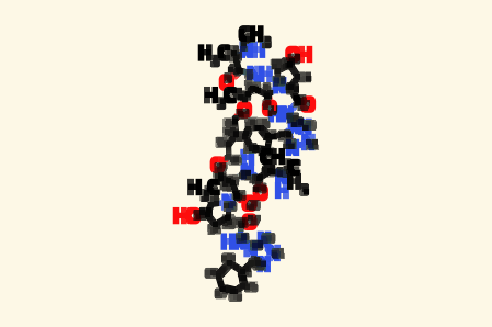 CN[C@@H](C)C(=O)N[C@H](C(=O)N1C[C@@H](O)C[C@H]1C(=O)Nn1nnnc1-c1ccccc1)C(C)OCCCCOC(C)[C@H](NC(=O)[C@H](C)NC)C(=O)N1C[C@@H](O)C[C@H]1C(=O)Nn1nnnc1-c1ccccc1